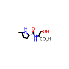 CC1CC[C@@H](C(=O)NC(CO)C(=O)O)N1